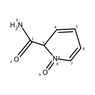 NC(=O)C1C=CC=C[N+]1=O